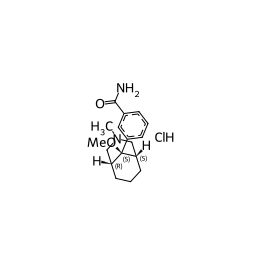 CO[C@]1(c2cccc(C(N)=O)c2)[C@@H]2CCC[C@H]1CN(C)C2.Cl